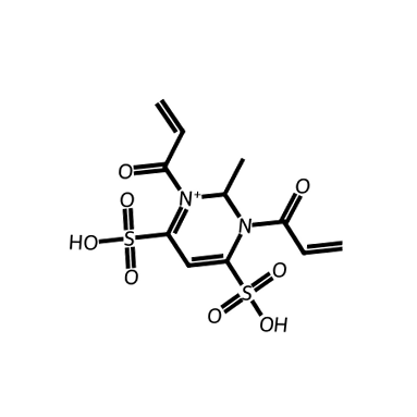 C=CC(=O)N1C(S(=O)(=O)O)=CC(S(=O)(=O)O)=[N+](C(=O)C=C)C1C